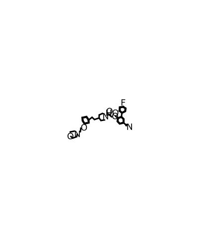 N#Cc1ccc(OCC(=O)N2CCC(CCc3cccc(OCCN4CCOCC4)c3)CC2)c(-c2ccc(F)cc2O)c1